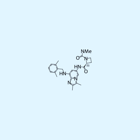 CNC(=O)N1CC[C@H]1C(=O)Nc1cc(NCc2c(C)cccc2C)c2nc(C)c(C)n2c1